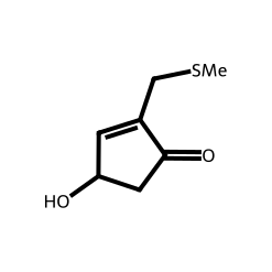 CSCC1=CC(O)CC1=O